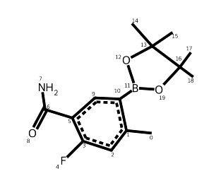 Cc1cc(F)c(C(N)=O)cc1B1OC(C)(C)C(C)(C)O1